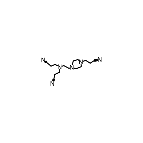 N#CCCN(CCC#N)CCN1CCN(CCC#N)CC1